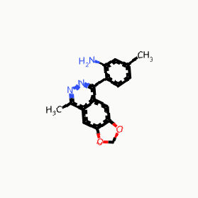 Cc1ccc(-c2nnc(C)c3cc4c(cc23)OCO4)c(N)c1